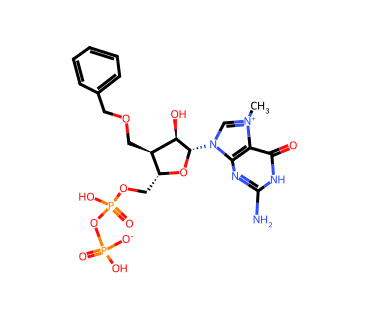 C[n+]1cn([C@@H]2O[C@H](COP(=O)(O)OP(=O)([O-])O)[C@@H](COCc3ccccc3)[C@H]2O)c2nc(N)[nH]c(=O)c21